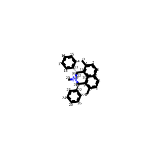 Cc1ccc2ccc(C)c3c2c1[C@@H](c1ccccc1)N(C)[C@@H]3c1ccccc1